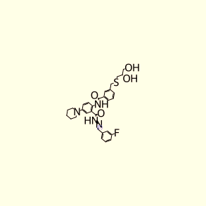 O=C(Nc1ccc(N2CCCCC2)cc1C(=O)N/N=C/c1cccc(F)c1)c1cccc(CSCC(O)CO)c1